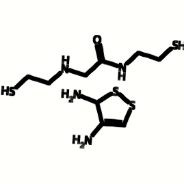 NC1=CSSC1N.O=C(CNCCS)NCCS